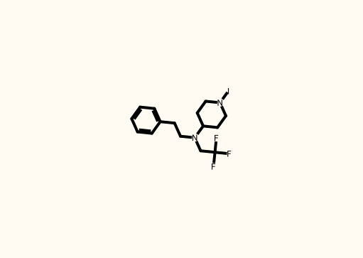 FC(F)(F)CN(CCc1ccccc1)C1CCN(I)CC1